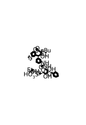 CCCC[C@]1(CC)CS(=O)(=O)c2ccc(N(C)C)cc2[C@@H](c2cccc(NC(=O)N[C@@H]3O[C@H](COS(=O)(=O)O)[C@@H](O)[C@H](OCc4ccccc4)[C@H]3O)c2)[C@H]1O.CCO.[KH]